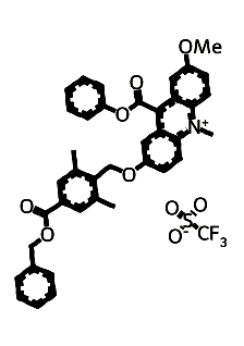 COc1ccc2c(c1)c(C(=O)Oc1ccccc1)c1cc(OCc3c(C)cc(C(=O)OCc4ccccc4)cc3C)ccc1[n+]2C.O=S(=O)([O-])C(F)(F)F